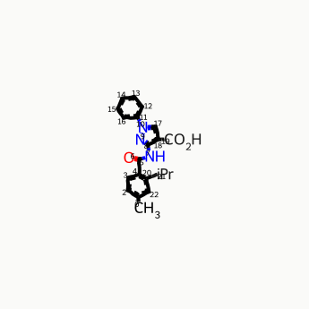 Cc1ccc(C(=O)Nc2nn(-c3ccccc3)cc2C(=O)O)c(C(C)C)c1